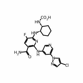 NC(=O)c1cc(F)c(N[C@@H]2CCCC[C@@H]2NC(=O)O)nc1Nc1cncc(-n2cc(Cl)cn2)c1